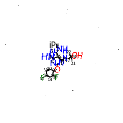 CC(C)Nc1n[nH]c2nc(Oc3ccc(F)cc3F)nc(NCC(C)(C)O)c12